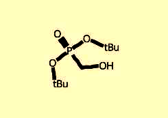 CC(C)(C)OP(=O)(CO)OC(C)(C)C